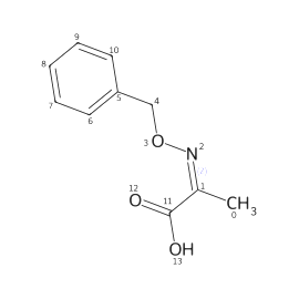 C/C(=N/OCc1ccccc1)C(=O)O